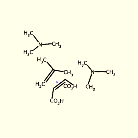 C=C(C)C.CN(C)C.CN(C)C.O=C(O)/C=C\C(=O)O